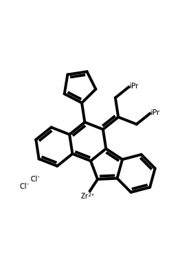 CC(C)CC(CC(C)C)=c1c(C2=CC=CC2)c2ccccc2c2c1=c1ccccc1=[C]2[Zr+2].[Cl-].[Cl-]